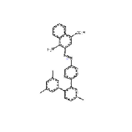 Cc1cc(C)cc(-c2ccc(C)cc2-c2ccc(/N=N/c3cc(S(=O)(=O)O)c4ccccc4c3N)cn2)c1